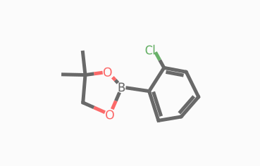 CC1(C)COB(c2ccccc2Cl)O1